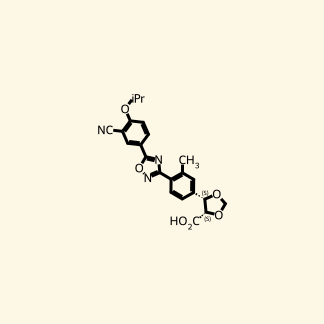 Cc1cc([C@@H]2OCO[C@@H]2C(=O)O)ccc1-c1noc(-c2ccc(OC(C)C)c(C#N)c2)n1